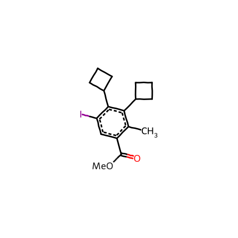 COC(=O)c1cc(I)c(C2CCC2)c(C2CCC2)c1C